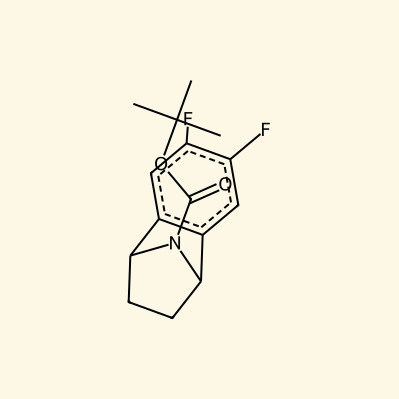 CC(C)(C)OC(=O)N1C2CCC1c1cc(F)c(F)cc12